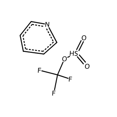 O=[SH](=O)OC(F)(F)F.c1ccncc1